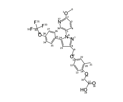 COc1ccc(-n2nc(COc3ccc(OCC(=O)O)c(C)c3)cc2-c2ccc(OC(F)(F)F)cc2)cn1